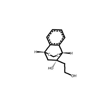 OCC[C@@]1(O)C[C@H]2CCC[C@@H]1c1ccccc12